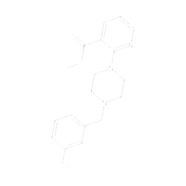 CC(C)OC(=O)c1cccnc1N1CCN(Cc2cccc(O)c2)CC1